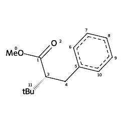 COC(=O)[C@H](Cc1ccccc1)C(C)(C)C